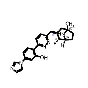 C[C@@]12CC[C@@H](N1)[C@@H](F)/C(=C\c1ccc(-c3ccc(-n4ccnc4)cc3O)nn1)C2